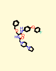 O=C(CN1CCC(N2CCCC2)CC1)NC(COCc1ccccc1)C(=O)Nc1ccc(Oc2ccc(F)cc2)cc1